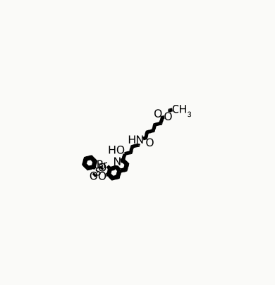 CCOC(=O)CCCCC(=O)NCCCC(O)c1ccc2ccc(OS(=O)(=O)c3ccccc3)c(Br)c2n1